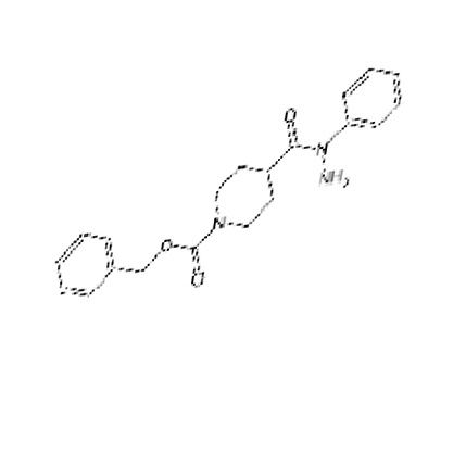 NN(C(=O)C1CCN(C(=O)OCc2ccccc2)CC1)c1ccccc1